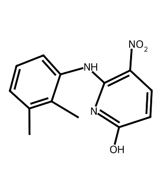 Cc1cccc(Nc2nc(O)ccc2[N+](=O)[O-])c1C